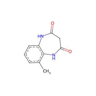 Cc1cccc2c1NC(=O)CC(=O)N2